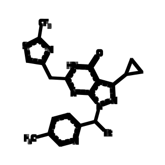 CCC(c1ccc(C(F)(F)F)cn1)n1nc(C2CC2)c2c(=O)[nH]c(Cc3csc(C(F)(F)F)n3)nc21